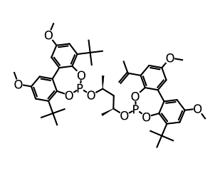 C=C(C)c1cc(OC)cc2c1op(O[C@@H](C)C[C@H](C)Op1oc3c(C(C)(C)C)cc(OC)cc3c3cc(OC)cc(C(C)(C)C)c3o1)oc1c(C(C)(C)C)cc(OC)cc12